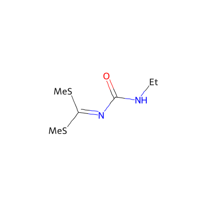 CCNC(=O)N=C(SC)SC